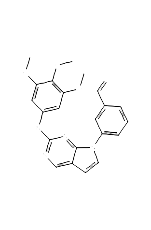 COc1cc(Nc2ncc3ccn(-c4cccc([C]=O)c4)c3n2)cc(OC)c1OC